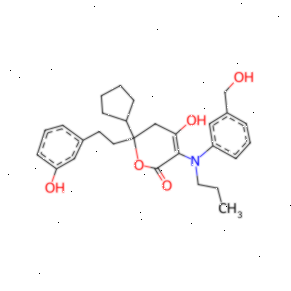 CCCN(C1=C(O)CC(CCc2cccc(O)c2)(C2CCCC2)OC1=O)c1cccc(CO)c1